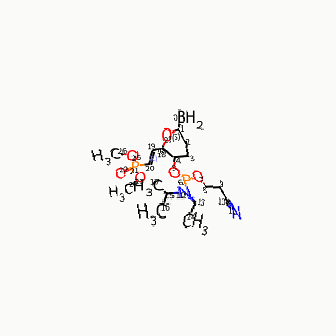 B[C@H]1CCC(OP(OCCC#N)N(CC)C(C)C)[C@@H](/C=C/P(=O)(OC)OC)O1